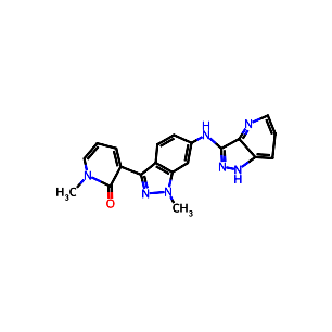 Cn1cccc(-c2nn(C)c3cc(Nc4n[nH]c5cccnc45)ccc23)c1=O